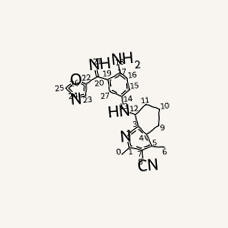 Cc1nc2c(c(C)c1C#N)CCCC2Nc1ccc(N)c(C(=N)c2cnco2)c1